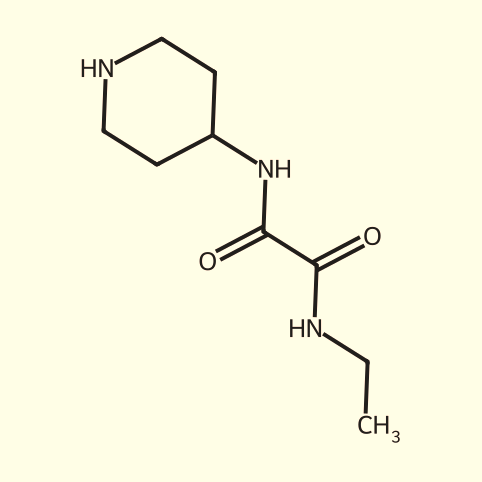 CCNC(=O)C(=O)NC1CCNCC1